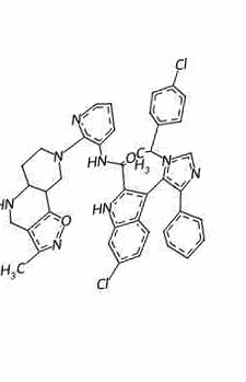 Cc1noc2c1CNC1CCN(c3ncccc3NC(=O)c3[nH]c4cc(Cl)ccc4c3-c3c(-c4ccccc4)ncn3C(C)c3ccc(Cl)cc3)CC21